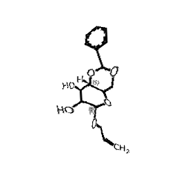 C=CCO[C@@H]1OC2COC(c3ccccc3)O[C@H]2C(O)C1O